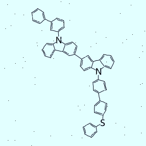 c1ccc(Sc2ccc(-c3ccc(-n4c5ccccc5c5cc(-c6ccc7c(c6)c6ccccc6n7-c6cccc(-c7ccccc7)c6)ccc54)cc3)cc2)cc1